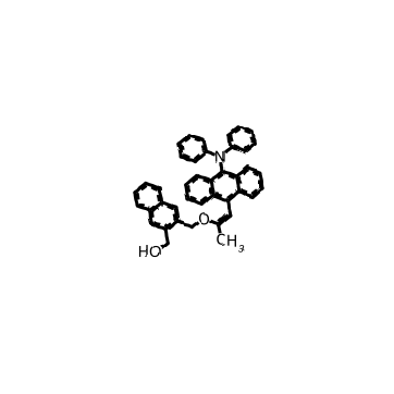 CC(=Cc1c2ccccc2c(N(c2ccccc2)c2ccccc2)c2ccccc12)OCc1cc2ccccc2cc1CO